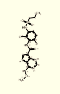 CCCS(=O)(=O)Nc1ccc(F)c(NC(=O)c2csc3c(NOC)ncnc23)c1Cl